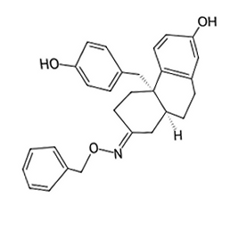 Oc1ccc(C[C@@]23CCC(=NOCc4ccccc4)C[C@@H]2CCc2cc(O)ccc23)cc1